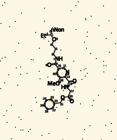 CCCCCCCCCC(CC)OCCCNC(=O)c1cnc(C(=O)NCC(=O)OCc2ccccc2)c(OC)c1